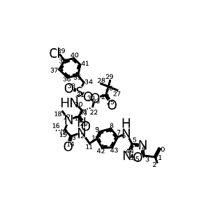 C=C(C)c1nc(Nc2ccc(CNC(=O)[C@H](C)N(C)C(=O)[C@@H](COC(=O)C(C)(C)C)NS(=O)(=O)Cc3ccc(Cl)cc3)cc2)no1